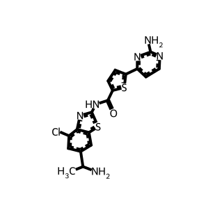 CC(N)c1cc(Cl)c2nc(NC(=O)c3ccc(-c4ccnc(N)n4)s3)sc2c1